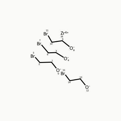 [O-]CCBr.[O-]CCBr.[O-]CCBr.[O-]CCBr.[Zr+4]